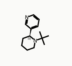 CC(C)(C)N1CCCC[C@H]1c1cccnc1